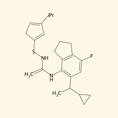 C=C(NSC1=CC(C(C)C)=CC1)Nc1c(C(C)C2CC2)cc(F)c2c1CCC2